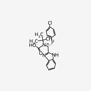 CC(C)(C)N(C(=O)O)[C@H](Cc1ccc(Cl)cc1)c1nc2ccccc2[nH]1